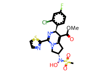 COC(=O)C1=C2C[C@H](N(O)S(C)(=O)=O)CN2C(c2nccs2)=N[C@H]1c1ccc(F)cc1Cl